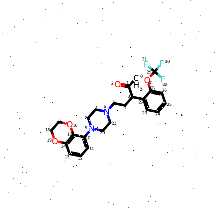 CC(=O)C(CCN1CCN(c2cccc3c2OCCO3)CC1)c1ccccc1OC(F)(F)F